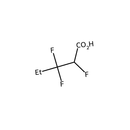 CCC(F)(F)C(F)C(=O)O